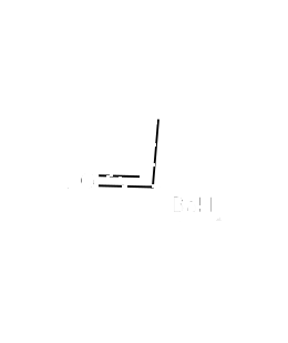 C[C]=O.[BaH2]